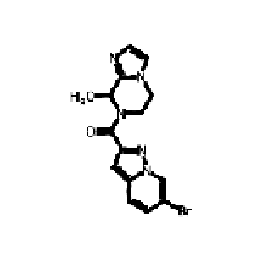 CC1c2nccn2CCN1C(=O)c1cc2ccc(Br)cn2n1